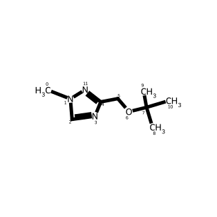 Cn1cnc(COC(C)(C)C)n1